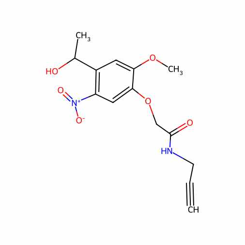 C#CCNC(=O)COc1cc([N+](=O)[O-])c(C(C)O)cc1OC